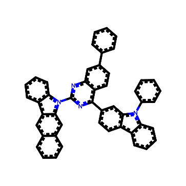 c1ccc(-c2ccc3c(-c4ccc5c6ccccc6n(-c6ccccc6)c5c4)nc(-n4c5ccccc5c5cc6ccccc6cc54)nc3c2)cc1